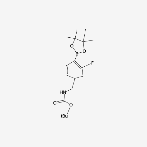 CC(C)(C)OC(=O)NCC1C=CC(B2OC(C)(C)C(C)(C)O2)=C(F)C1